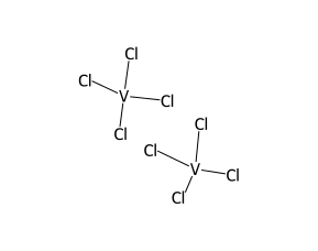 [Cl][V]([Cl])([Cl])[Cl].[Cl][V]([Cl])([Cl])[Cl]